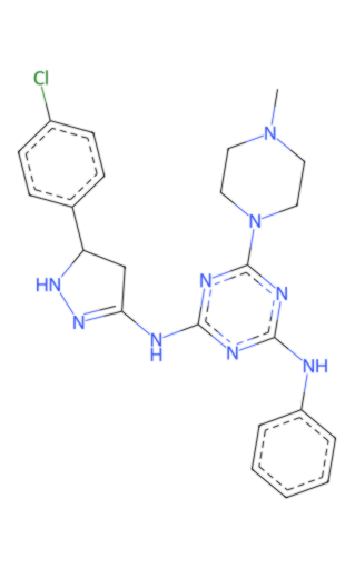 CN1CCN(c2nc(NC3=NNC(c4ccc(Cl)cc4)C3)nc(Nc3ccccc3)n2)CC1